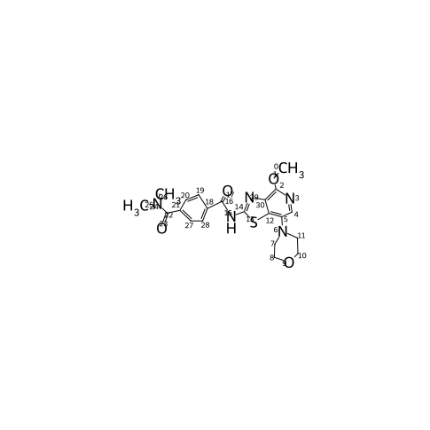 COc1ncc(N2CCOCC2)c2sc(NC(=O)c3ccc(C(=O)N(C)C)cc3)nc12